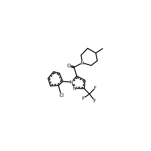 CC1CCN(C(=O)c2cc(C(F)(F)F)nn2-c2ccccc2Cl)CC1